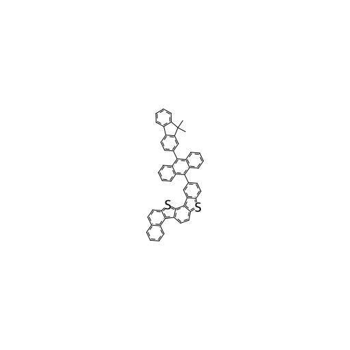 CC1(C)c2ccccc2-c2ccc(-c3c4ccccc4c(-c4ccc5sc6ccc7c(sc8ccc9ccccc9c87)c6c5c4)c4ccccc34)cc21